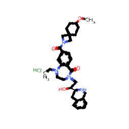 CCN1CCN(CC(O)[C@@H]2Cc3ccccc3CN2)C(=O)c2ccc(C(=O)N3CC4(CCC(OC)CC4)C3)cc21.Cl